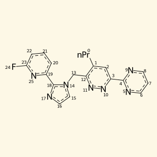 CCCc1cc(-c2ncccn2)nnc1Cn1ccnc1-c1cccc(F)n1